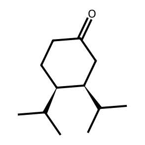 CC(C)[C@H]1CCC(=O)C[C@H]1C(C)C